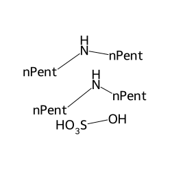 CCCCCNCCCCC.CCCCCNCCCCC.O=S(=O)(O)O